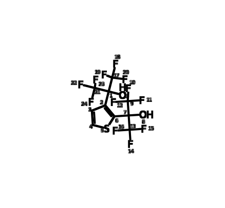 OC(c1ccsc1C(O)(C(F)(F)F)C(F)(F)F)(C(F)(F)F)C(F)(F)F